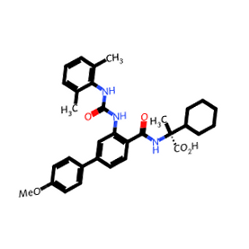 COc1ccc(-c2ccc(C(=O)N[C@](C)(C(=O)O)C3CCCCC3)c(NC(=O)Nc3c(C)cccc3C)c2)cc1